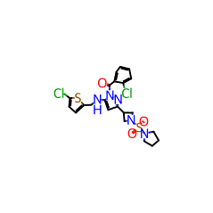 O=C(c1ccccc1Cl)n1nc(C2CN(S(=O)(=O)N3CCCC3)C2)cc1NCc1ccc(Cl)s1